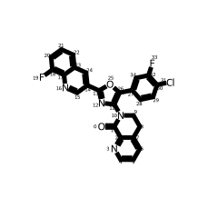 O=C1c2ncccc2CCN1c1nc(-c2cnc3c(F)cccc3c2)oc1-c1ccc(Cl)c(F)c1